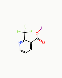 O=C(OI)c1cccnc1C(F)(F)F